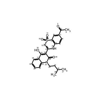 CC(=O)c1ccc2c(c1)S(=O)(=O)N=C(c1c(O)c3ccccc3n(CCC(C)C)c1=O)N2